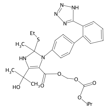 CCSC1(C)NC(C(C)(C)O)=C(C(=O)OCOC(=O)OC(C)C)N1c1ccc(-c2ccccc2-c2nnn[nH]2)cc1